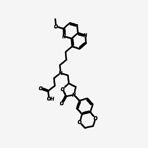 COc1ccc2nccc(CCCN(CCC(=O)O)CC3CN(c4ccc5c(c4)OCCO5)C(=O)O3)c2n1